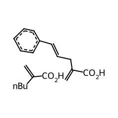 C=C(CC=Cc1ccccc1)C(=O)O.C=C(CCCC)C(=O)O